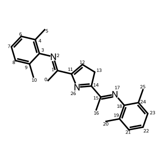 C/C(=N\c1c(C)cccc1C)C1=CCC(/C(C)=N/c2c(C)cccc2C)=N1